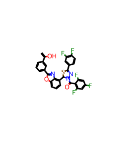 C=C(O)c1cccc(-c2nc3c(C4SC(c5ccc(F)c(F)c5)=NN4C(=O)c4c(F)cc(F)cc4F)cccc3o2)c1